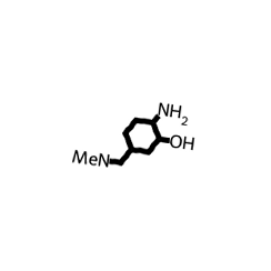 CNCC1CCC(N)C(O)C1